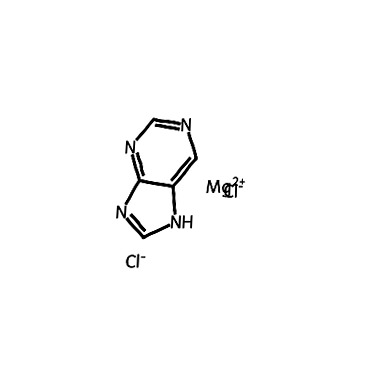 [Cl-].[Cl-].[Mg+2].c1ncc2[nH]cnc2n1